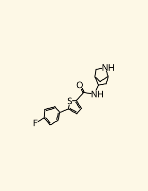 O=C(NC1CC2CC1CN2)c1ccc(-c2ccc(F)cc2)s1